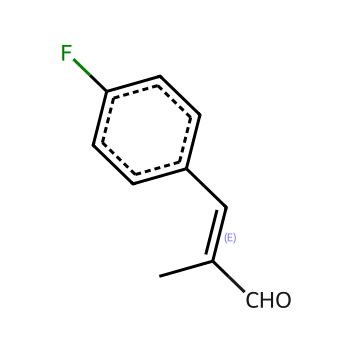 C/C(C=O)=C\c1ccc(F)cc1